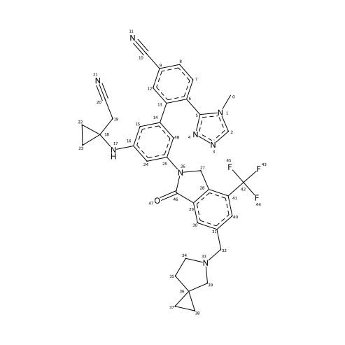 Cn1cnnc1-c1ccc(C#N)cc1-c1cc(NC2(CC#N)CC2)cc(N2Cc3c(cc(CN4CCC5(CC5)C4)cc3C(F)(F)F)C2=O)c1